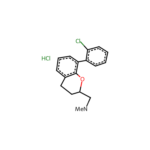 CNCC1CCc2cccc(-c3ccccc3Cl)c2O1.Cl